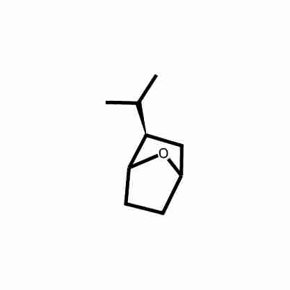 CC(C)[C@H]1CC2CCC1O2